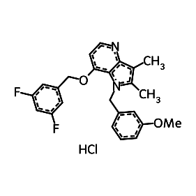 COc1cccc(Cn2c(C)c(C)c3nccc(OCc4cc(F)cc(F)c4)c32)c1.Cl